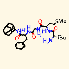 CCC(C)[C@H](N)C(=O)N[C@H](CCSC)C(=O)NCC(=O)N[C@@H](Cc1ccccc1)C(=O)NC1C2CC3CC(C2)CC1C3